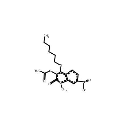 CCCCCCOc1c(OC(C)=O)c(=O)n(C)c2cc([N+](=O)[O-])ccc12